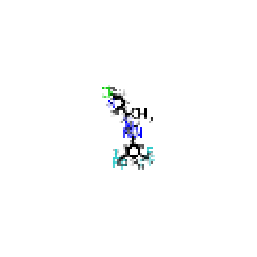 C/C(=C\n1cnc(-c2cc(C(F)(F)F)cc(C(F)(F)F)c2)n1)c1ccc(Cl)nc1